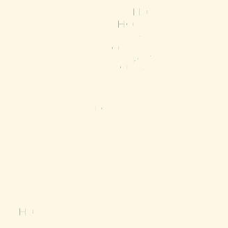 CCCCCCCCCCOCCCOP(=O)(SCC(CCCC)C1CCCCC1)C(=O)OO